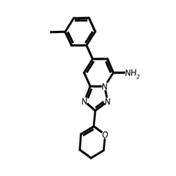 Cc1cccc(-c2cc(N)n3nc(C4=CCCCO4)nc3c2)c1